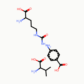 CC(C)C(N)C(=O)O.NC(=O)NCCCC(N)C(=O)O.Nc1ccc(C(=O)O)cc1